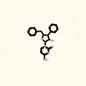 Nc1ccn(C2OC(Cc3ccccc3)C(c3ccccc3)C2[18F])c(=O)n1